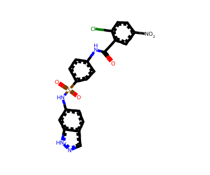 O=C(Nc1ccc(S(=O)(=O)Nc2ccc3cn[nH]c3c2)cc1)c1cc([N+](=O)[O-])ccc1Cl